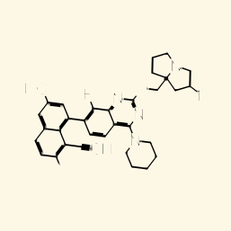 C#Cc1c(F)ccc2cc(O)cc(-c3ccc4c(N5CCCCC5)nc(OCC56CCCN5CC(F)C6)nc4c3F)c12